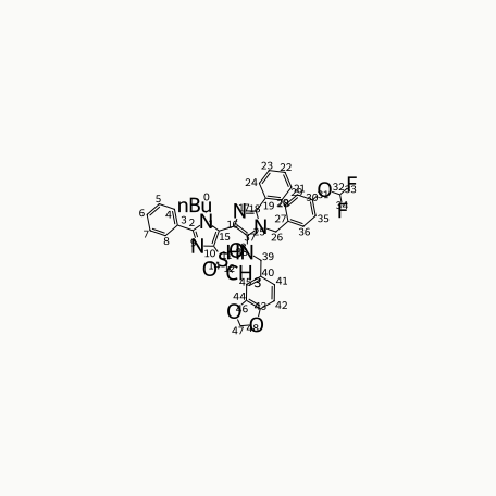 CCCCn1c(-c2ccccc2)nc(S(C)(=O)=O)c1-c1nc(-c2ccccc2)n(Cc2ccc(OC(F)F)cc2)c1NCc1ccc2c(c1)OCO2